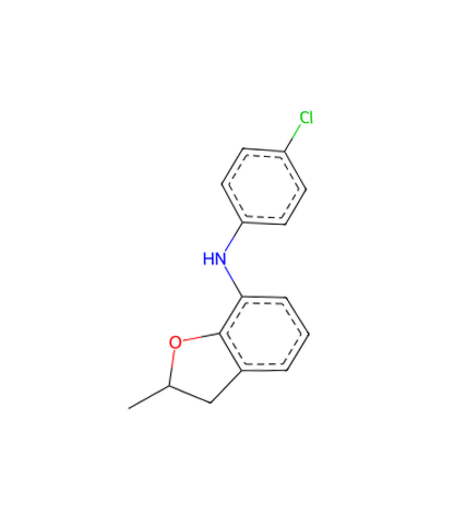 CC1Cc2cccc(Nc3ccc(Cl)cc3)c2O1